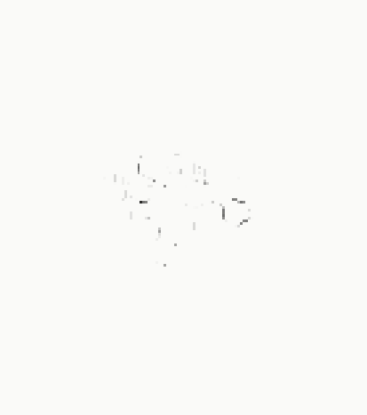 [2H]C1CN(C([2H])(C([2H])([2H])[2H])C([2H])([2H])C(=O)N([2H])N([2H])C(=O)NCC2CCCCC2)C([2H])([2H])C([2H])([2H])N1c1ccccc1OC